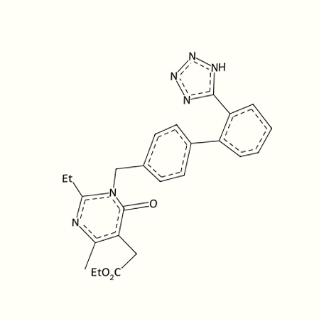 CCOC(=O)Cc1c(C)nc(CC)n(Cc2ccc(-c3ccccc3-c3nnn[nH]3)cc2)c1=O